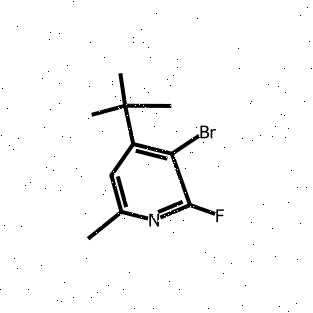 Cc1cc(C(C)(C)C)c(Br)c(F)n1